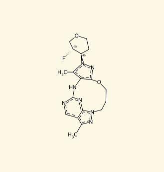 Cc1nn2c3nc(ncc13)Nc1c(nn([C@@H]3CCOC[C@H]3F)c1C)OCCC2